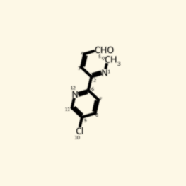 C/N=C(\C=C/C=O)c1ccc(Cl)cn1